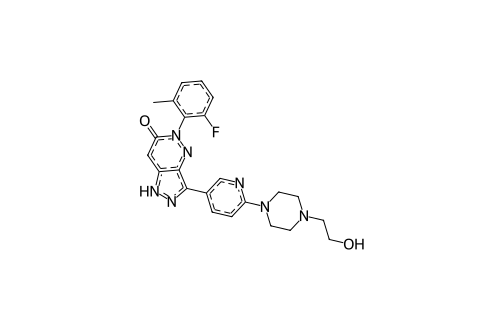 Cc1cccc(F)c1-n1nc2c(-c3ccc(N4CCN(CCO)CC4)nc3)n[nH]c2cc1=O